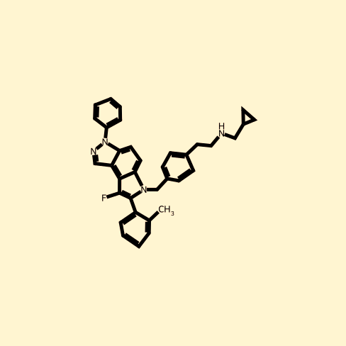 Cc1ccccc1-c1c(F)c2c3cnn(-c4ccccc4)c3ccc2n1Cc1ccc(CCNCC2CC2)cc1